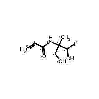 C=CC(=O)NC(C)(CO)C(O)I